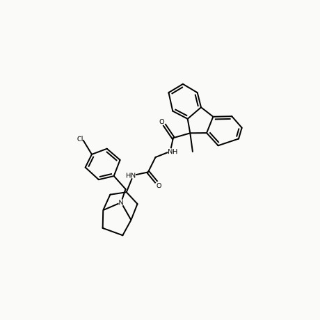 CC1(C(=O)NCC(=O)NC2CC3CCC(C2)N3Cc2ccc(Cl)cc2)c2ccccc2-c2ccccc21